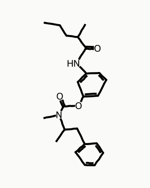 CCCC(C)C(=O)Nc1cccc(OC(=O)N(C)C(C)Cc2ccccc2)c1